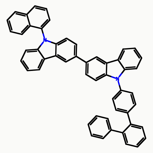 c1ccc(-c2ccccc2-c2ccc(-n3c4ccccc4c4cc(-c5ccc6c(c5)c5ccccc5n6-c5cccc6ccccc56)ccc43)cc2)cc1